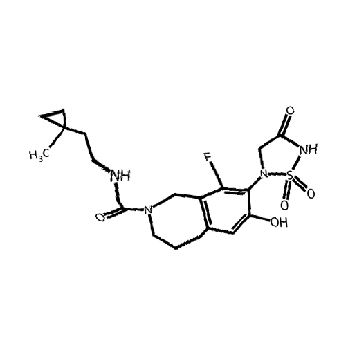 CC1(CCNC(=O)N2CCc3cc(O)c(N4CC(=O)NS4(=O)=O)c(F)c3C2)CC1